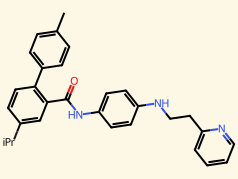 Cc1ccc(-c2ccc(C(C)C)cc2C(=O)Nc2ccc(NCCc3ccccn3)cc2)cc1